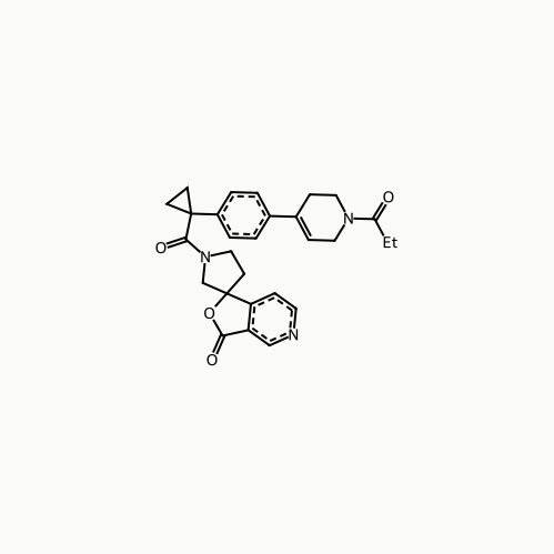 CCC(=O)N1CC=C(c2ccc(C3(C(=O)N4CCC5(C4)OC(=O)c4cnccc45)CC3)cc2)CC1